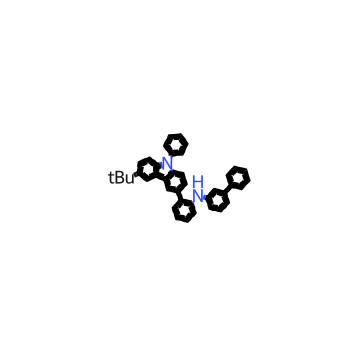 CC(C)(C)c1ccc2c(c1)c1cc(-c3ccccc3Nc3cccc(-c4ccccc4)c3)ccc1n2-c1ccccc1